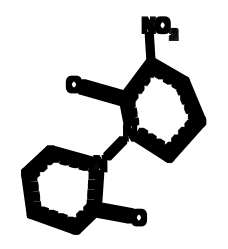 O=c1ccccn1-n1cccc([N+](=O)[O-])c1=O